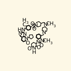 Cc1cc(S(=O)(=O)N2CCC(CN(C)C3CCN(Cc4cccc5c4n(C)c(=O)n5C4CCC(=O)NC4=O)CC3)CC2)ccc1Nc1ncc2ccc(=O)n(C3CCCC3)c2n1